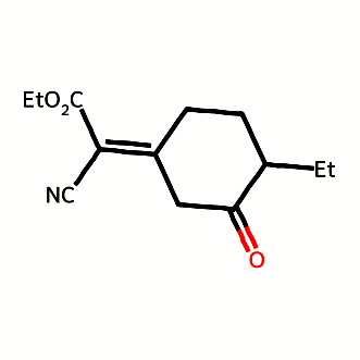 CCOC(=O)C(C#N)=C1CCC(CC)C(=O)C1